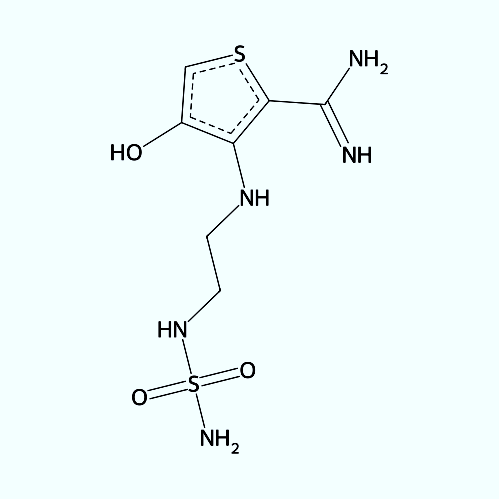 N=C(N)c1scc(O)c1NCCNS(N)(=O)=O